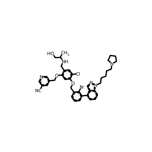 CC(CO)NCc1cc(Cl)c(OCc2cccc(-c3cccc4c3cnn4CCCCCN3CCCC3)c2Br)cc1OCc1cncc(C#N)c1